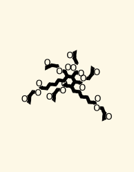 O=C(CCCCCC(C(=O)OCC1CO1)C(C(=O)OCC1CO1)C(C(=O)OCC1CO1)C(CCCCCC(=O)OCC1CO1)C(=O)OCC1CO1)OCC1CO1